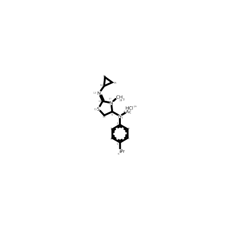 CC(=O)N(c1ccc(C(C)C)cc1)C1CSC(=NC2CC2)N1C.Cl